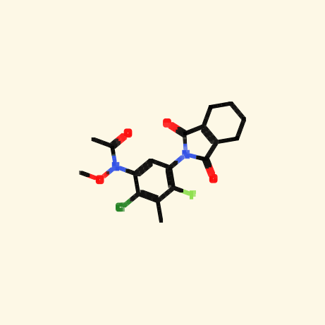 CON(C(C)=O)c1cc(N2C(=O)C3=C(CCCC3)C2=O)c(F)c(C)c1Cl